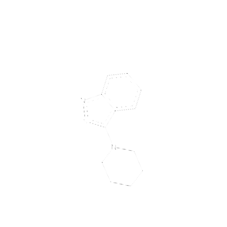 c1ccc2c(N3CCCCC3)snc2c1